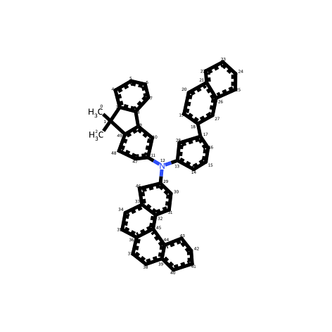 CC1(C)c2ccccc2-c2cc(N(c3cccc(-c4ccc5ccccc5c4)c3)c3ccc4c(ccc5ccc6ccccc6c54)c3)ccc21